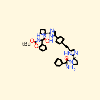 CC(C)(C)OC(=O)N[C@@H](C(=O)N1CCC[C@H]1c1ncc(-c2ccc(C#Cc3cnc([C@@H]4CCCN4C(=O)[C@H](N)c4ccccc4)[nH]3)cc2)[nH]1)c1ccccc1